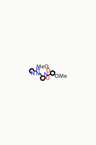 COCOc1ccc(OC)cc1-c1nc2c(CNCc3ccccn3)cccc2o1